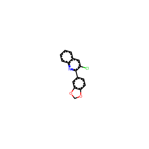 Clc1cc2ccccc2nc1-c1ccc2c(c1)OCO2